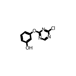 Oc1cccc(Oc2ncnc(Cl)n2)c1